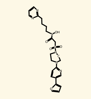 O=C(CS(=O)(=O)N1CCN(c2ccc(-c3ccco3)cn2)CC1)N(O)CCCCc1ncccn1